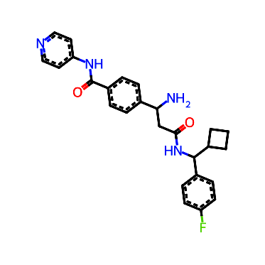 NC(CC(=O)NC(c1ccc(F)cc1)C1CCC1)c1ccc(C(=O)Nc2ccncc2)cc1